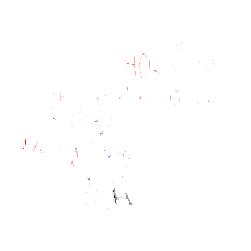 C[C@@H]1O[C@@H](O[C@@H]2CCCC[C@H]2O[C@@H]2O[C@H](CO)[C@H](O)[C@H](O[C@@H](CC3CCCCC3)C(=O)O)[C@H]2N)[C@@H](O)[C@H](O)[C@@H]1O